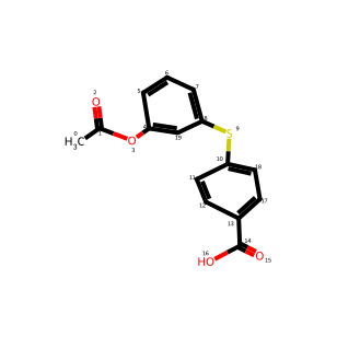 CC(=O)Oc1cccc(Sc2ccc(C(=O)O)cc2)c1